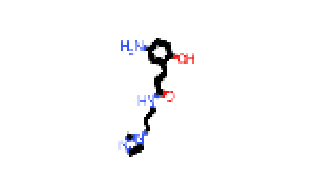 Nc1ccc(O)c(/C=C/C(=O)NCCCn2ccnc2)c1